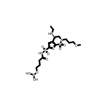 CCN[C@H]1CN(CCCOC)S(=O)(=O)c2sc(S(=O)(=O)NC(=O)CCCON(O)O)cc21